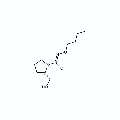 CCCCON=[N+]([O-])N1CCC[C@H]1CO